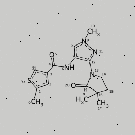 Cc1cc(C(=O)Nc2cn(C)nc2N2CCC(C)(C)C2=O)cs1